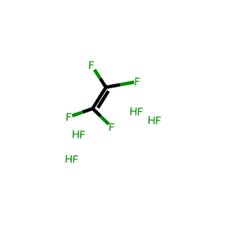 F.F.F.F.FC(F)=C(F)F